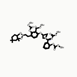 CC1(C)CCC2OB(CCc3ccc(OC4CN(/C(=N\C(=O)OC(C)(C)C)c5ccccc5OC(=O)OC(C)(C)C)C4)c(C(=O)OC(C)(C)C)c3OC(=O)OC(C)(C)C)OC2(C)C1